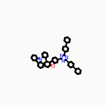 c1ccc(-c2ccc(-c3nc(-c4ccc(-c5ccccc5)cc4)nc(-c4ccc5c(c4)oc4cccc(-c6ccccc6-n6c7ccccc7c7ccccc76)c45)n3)cc2)cc1